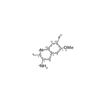 COc1cc2cc(N)c(C)nc2cc1F